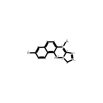 CCc1ccc2c3c(ccc2c1)S(C(C)C)=C1N=NCN1N3